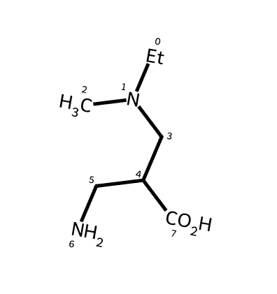 CCN(C)CC(CN)C(=O)O